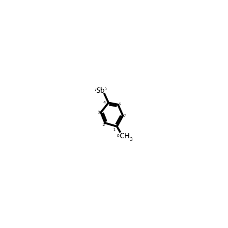 Cc1cc[c]([Sb])cc1